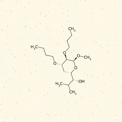 CCCCO[C@H]1[C@@H](OC)O[C@H]([C@H](O)C(C)C)C[C@@H]1OCCCC